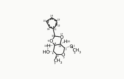 CO[C@@H]1O[C@@H](C)[C@H](O)[C@H]2OC(c3ccccc3)O[C@@H]12